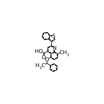 Cc1ccc(OC(C)c2ccccc2)c2c(C(=O)O)cc(-c3csc4ccccc34)nc12